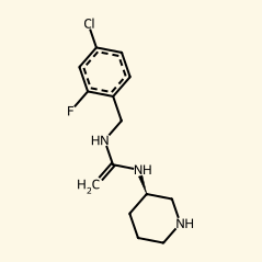 C=C(NCc1ccc(Cl)cc1F)N[C@@H]1CCCNC1